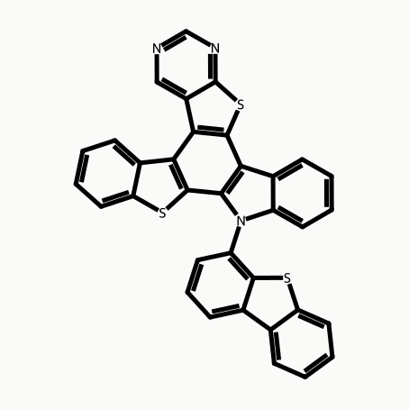 c1ccc2c(c1)sc1c(-n3c4ccccc4c4c5sc6ncncc6c5c5c6ccccc6sc5c43)cccc12